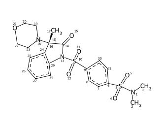 CN(C)S(=O)(=O)c1ccc(S(=O)(=O)N2C(=O)[C@@](C)(N3CCOCC3)c3ccccc32)cc1